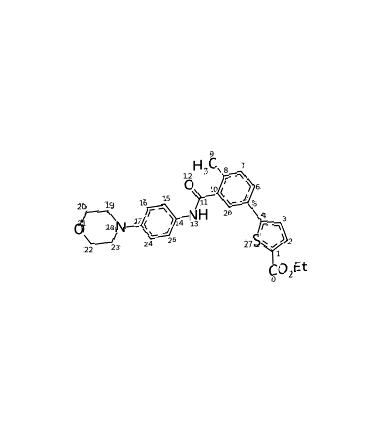 CCOC(=O)c1ccc(-c2ccc(C)c(C(=O)Nc3ccc(N4CCOCC4)cc3)c2)s1